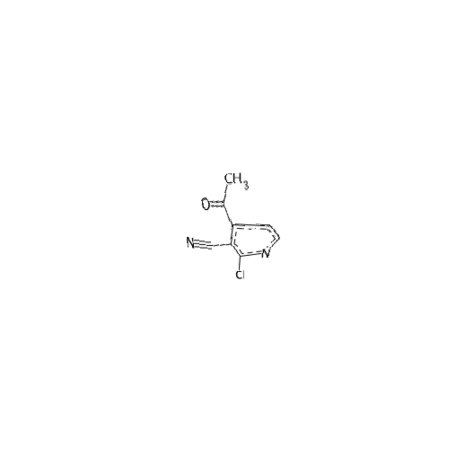 CC(=O)c1ccnc(Cl)c1C#N